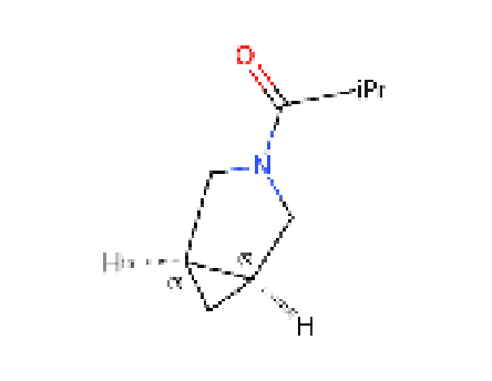 CC(C)C(=O)N1C[C@H]2C[C@H]2C1